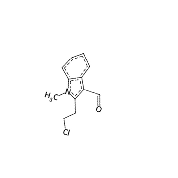 Cn1c(CCCl)c(C=O)c2ccccc21